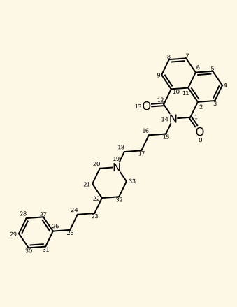 O=C1c2cccc3cccc(c23)C(=O)N1CCCCN1CCC(CCCc2ccccc2)CC1